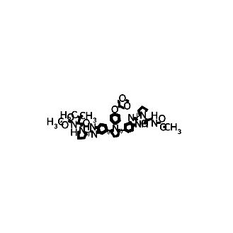 COC(=O)NCC(=O)N1CCC[C@H]1c1nc2cc([C@H]3CC[C@H](c4ccc5[nH]c([C@@H]6CCCN6C(=O)C(NC(=O)OC)C(C)C)nc5c4)N3c3ccc(OC4COCOC4)cc3)ccc2[nH]1